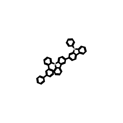 c1ccc(-c2cccc(-c3ccccc3-n3c4ccccc4c4cc(-c5ccc6c7ccccc7n(-c7ccccc7)c6c5)ccc43)c2)cc1